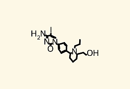 CCCN1C(CCO)CCCC1c1ccc(-n2cc(I)c(N)nc2=O)cc1